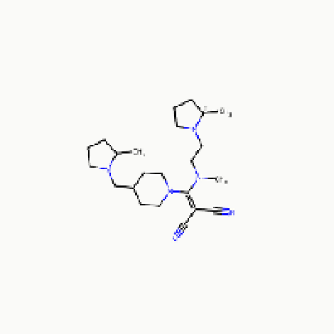 CC1CCCN1CC1CCN(C(=C(C#N)C#N)N(C)CCN2CCC[C@H]2C)CC1